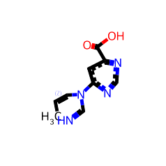 C/C=C\N(C=N)c1cc(C(=O)O)ncn1